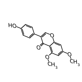 COc1cc(OC)c2c(=O)c(-c3ccc(O)cc3)coc2c1